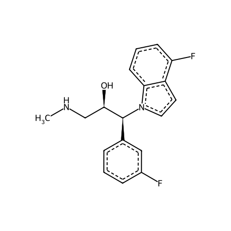 CNC[C@@H](O)[C@H](c1cccc(F)c1)n1ccc2c(F)cccc21